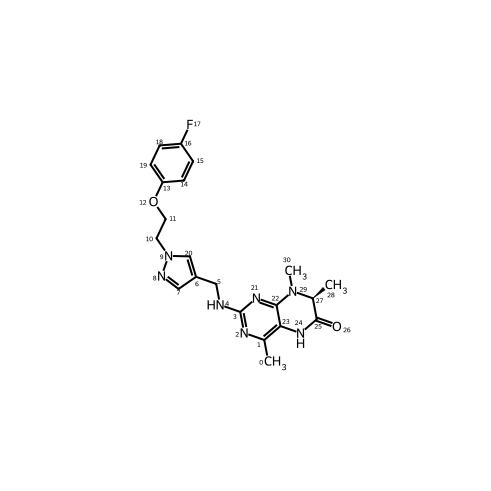 Cc1nc(NCc2cnn(CCOc3ccc(F)cc3)c2)nc2c1NC(=O)[C@H](C)N2C